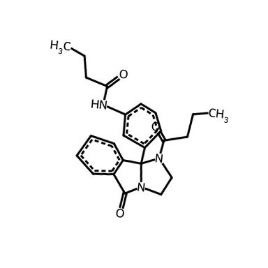 CCCC(=O)Nc1cccc(C23c4ccccc4C(=O)N2CCN3C(=O)CCC)c1